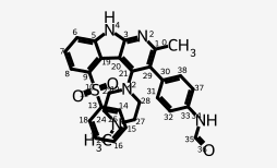 Cc1nc2[nH]c3cccc(S(=O)(=O)c4ccccc4)c3c2c(N2CCN(C)CC2)c1-c1ccc(NC=O)cc1